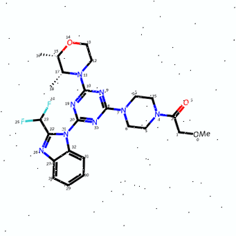 COCC(=O)N1CCN(c2nc(N3CCO[C@@H](C)[C@H]3C)nc(-n3c(C(F)F)nc4ccccc43)n2)CC1